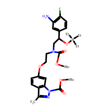 CC[Si](CC)(CC)OC(CN(CCOc1ccc2c(C(F)(F)F)nn(C(=O)OC(C)(C)C)c2c1)C(=O)OC(C)(C)C)c1ccc(F)c(N)c1